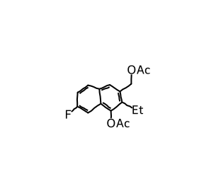 CCc1c(COC(C)=O)cc2ccc(F)cc2c1OC(C)=O